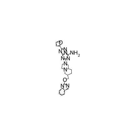 Nc1nc(N2CCN3CC(COc4ncc5ccccc5n4)CCC3C2)nc2nc(-c3ccco3)nn12